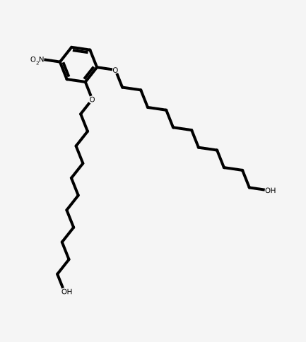 O=[N+]([O-])c1ccc(OCCCCCCCCCCCO)c(OCCCCCCCCCCCO)c1